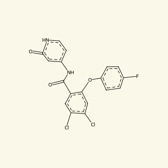 O=C(Nc1cc[nH]c(=O)c1)c1cc(Cl)c(Cl)cc1Oc1ccc(F)cc1